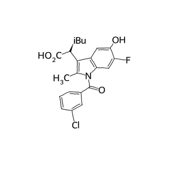 CC[C@H](C)C(C(=O)O)c1c(C)n(C(=O)c2cccc(Cl)c2)c2cc(F)c(O)cc12